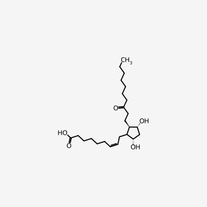 CCCCCCCC(=O)CC[C@@H]1C(C/C=C\CCCCCC(=O)O)[C@@H](O)C[C@H]1O